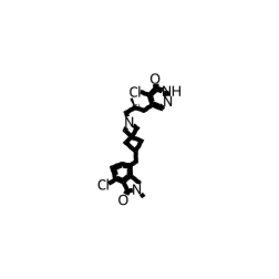 C[C@@H](Cc1cn[nH]c(=O)c1Cl)CN1CC2(CC(Cc3ccc(Cl)c4c3CN(C)C4=O)C2)C1